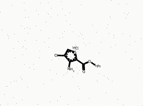 CCCOC(=O)c1scc(Cl)c1N.Cl